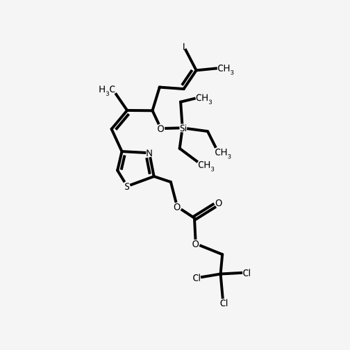 CC[Si](CC)(CC)OC(CC=C(C)I)C(C)=Cc1csc(COC(=O)OCC(Cl)(Cl)Cl)n1